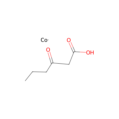 CCCC(=O)CC(=O)O.[Co]